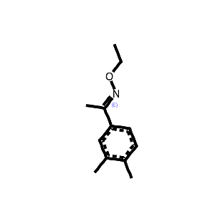 CCO/N=C(\C)c1ccc(C)c(C)c1